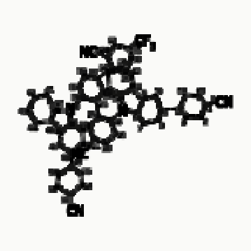 N#Cc1ccc(-c2ccc3c(c2)c2ccccc2n3-c2ccc(C#N)cc2-c2cc(-c3ccc(C(F)(F)F)cc3C#N)ccc2-n2c3ccccc3c3cc(-c4ccc(C#N)cc4)ccc32)cc1